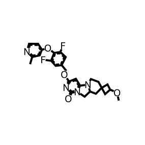 COC1CC2(CCN3c4cc(OCc5cc(F)c(Oc6ccnc(C)c6)c(F)c5)nc(=O)n4CC3C2)C1